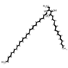 C=CC(NCCCCCCCCCCCCCCCCCCCCCCCCCC)C(O)C(O)CCCCCCCCCCCCCC